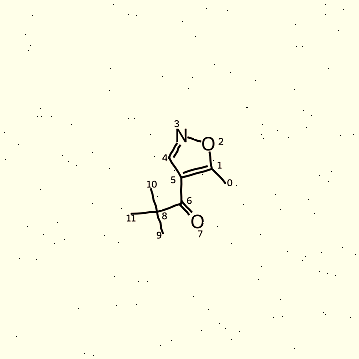 Cc1oncc1C(=O)C(C)(C)C